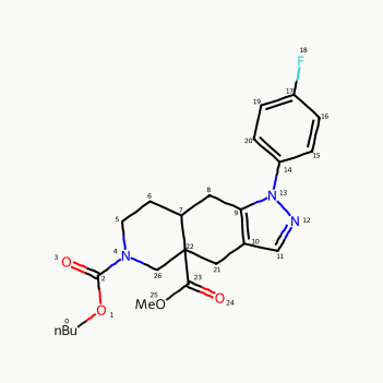 CCCCOC(=O)N1CCC2Cc3c(cnn3-c3ccc(F)cc3)CC2(C(=O)OC)C1